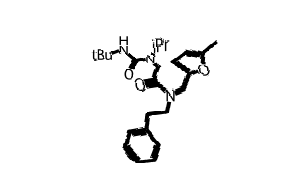 Cc1ccc(CN(CCc2ccccc2)C(=O)CN(C(=O)NC(C)(C)C)C(C)C)o1